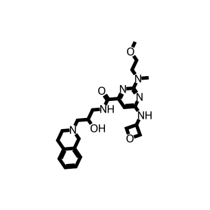 COCCN(C)c1nc(NC2COC2)cc(C(=O)NCC(O)CN2CCc3ccccc3C2)n1